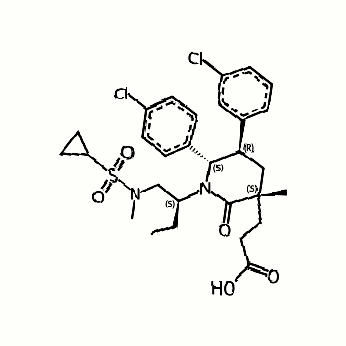 CC[C@@H](CN(C)S(=O)(=O)C1CC1)N1C(=O)[C@@](C)(CCC(=O)O)C[C@H](c2cccc(Cl)c2)[C@H]1c1ccc(Cl)cc1